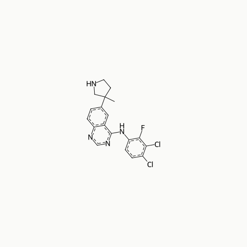 CC1(c2ccc3ncnc(Nc4ccc(Cl)c(Cl)c4F)c3c2)CCNC1